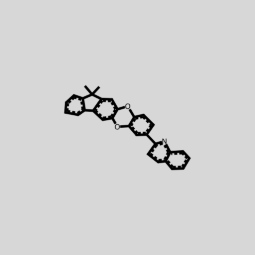 CC1(C)c2ccccc2-c2cc3c(cc21)Oc1ccc(-c2ccc4ccccc4n2)cc1O3